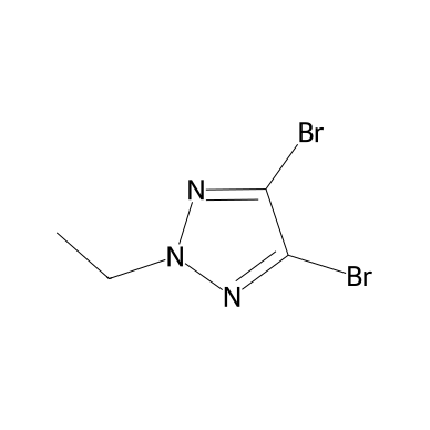 CCn1nc(Br)c(Br)n1